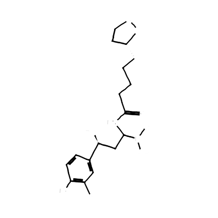 O=C(CCCC[C@@H]1CCSS1)NC(C[C@H](O)c1ccc(O)c(O)c1)B(O)O